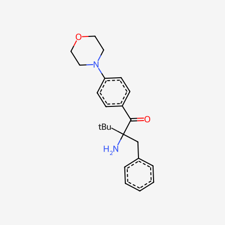 CC(C)(C)C(N)(Cc1ccccc1)C(=O)c1ccc(N2CCOCC2)cc1